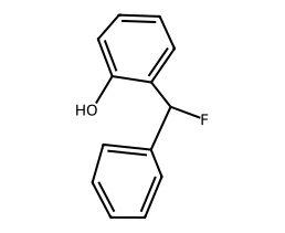 Oc1ccccc1C(F)c1ccccc1